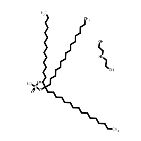 CCCCCCCCCCCCCCCCC(CCCCCCCCCCCCCCC)(CCCCCCCCCCCCCCCC)OP(=O)(O)O.OCCNCCO